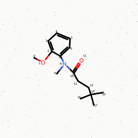 COc1ccccc1N(C)C(=O)CCC(C)(C)C